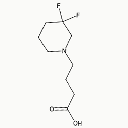 O=C(O)CCCN1CCCC(F)(F)C1